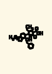 CCc1cc(C(=O)O)c(=O)[nH]c1-c1ccc2c(ccn2C)c1OCc1ccccc1